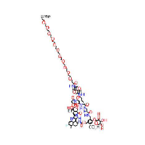 CC[C@@]1(O)C(=O)OCc2c1cc1n(c2=O)Cc2c-1nc1cc(F)c(C)c3c1c2[C@@H](NC(=O)OCc1ccc(O[C@@H]2O[C@H](C(=O)O)[C@@H](O)[C@H](O)[C@H]2O)c(CNC(=O)CCNC(=O)[C@H](CCCC(=O)N[C@H]2CO[C@H]4[C@@H]2OC[C@@H]4NC(=O)CCOCCOCCOCCOCCOCCOCCOCCOCCOCCOCCOCCOC)NC(=O)CCN2C(=O)C=CC2=O)c1)CC3